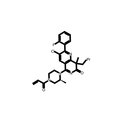 C=CC(=O)N1CCN(C2=NC(=O)C(C)(CC(C)C)c3nc(-c4ccccc4F)c(Cl)cc32)[C@@H](C)C1